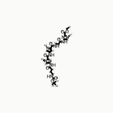 CCOC(=O)c1nc(NC(=O)CCNC(=O)c2cc(NC(=O)c3nc(NC(=O)CCCNC(=O)OC(C)(C)C)cn3C)cn2C)cn1C